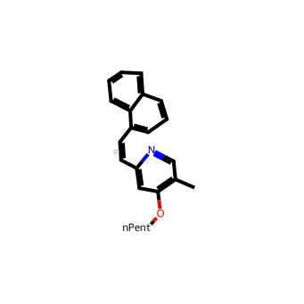 CCCCCOc1cc(/C=C\c2cccc3ccccc23)ncc1C